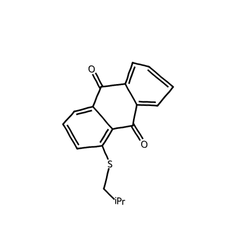 CC(C)CSc1cccc2c1C(=O)c1ccccc1C2=O